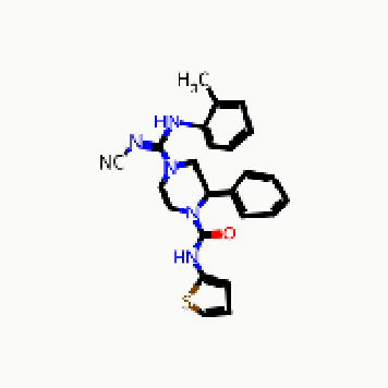 Cc1ccccc1N/C(=N/C#N)N1CCN(C(=O)Nc2cccs2)C(c2ccccc2)C1